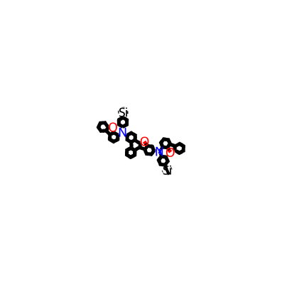 C[Si](C)(C)c1ccc(N(c2ccc3c(c2)oc2c4ccc(N(c5ccc([Si](C)(C)C)cc5)c5cccc6c5oc5ccccc56)cc4c4ccccc4c32)c2cccc3c2oc2ccccc23)cc1